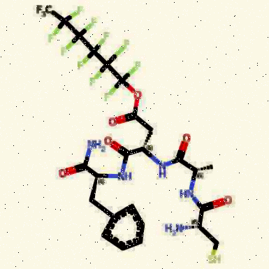 C[C@H](NC(=O)[C@@H](N)CS)C(=O)N[C@@H](CC(=O)OC(F)(F)C(F)(F)C(F)(F)C(F)(F)C(F)(F)C(F)(F)F)C(=O)N[C@@H](Cc1ccccc1)C(N)=O